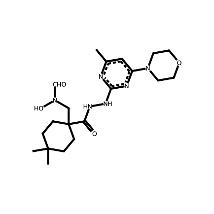 Cc1cc(N2CCOCC2)nc(NNC(=O)C2(CN(O)C=O)CCC(C)(C)CC2)n1